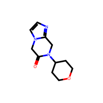 O=C1Cn2ccnc2CN1C1CCOCC1